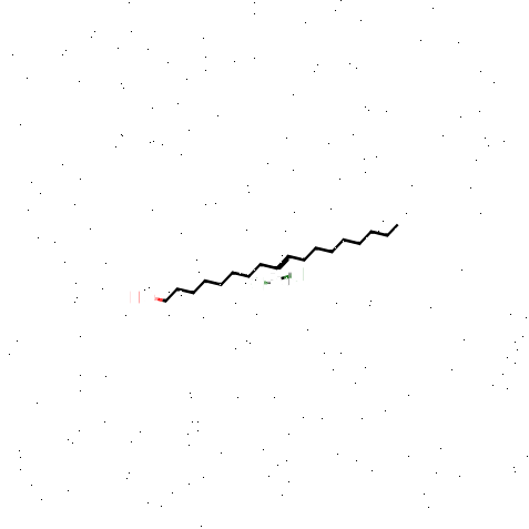 CCCCCCCCC=CCCCCCCCCO.[Cl][Pd][Cl]